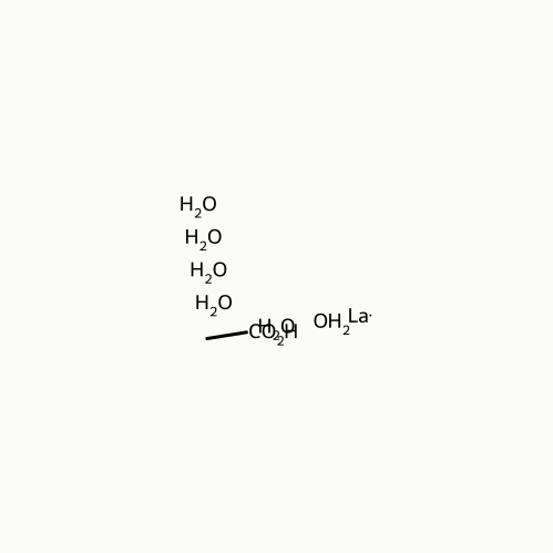 CC(=O)O.O.O.O.O.O.O.[La]